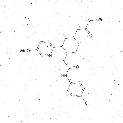 CCCNC(=O)CN1CCC(NC(=O)Nc2ccc(Cl)cc2)C(c2ccc(OC)cn2)C1